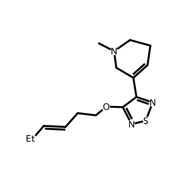 CC/C=C/CCOc1nsnc1C1=CCCN(C)C1